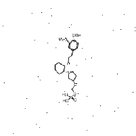 COc1ccc(CCO[C@H]2CCCC[C@H]2N2CCC(OCOP(=O)(O)O)C2)cc1OC